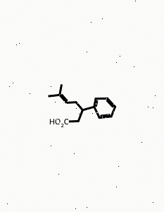 CC(C)=CCC(CC(=O)O)c1ccccc1